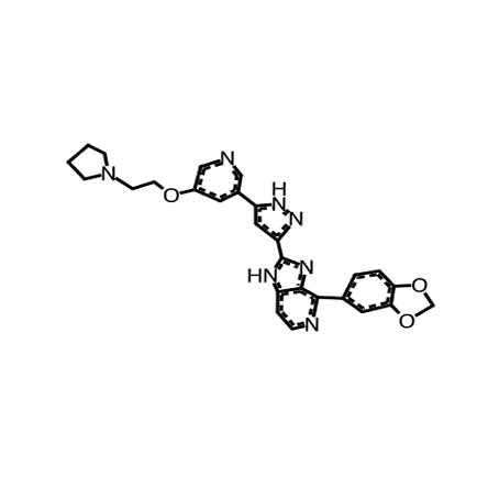 c1cc2[nH]c(-c3cc(-c4cncc(OCCN5CCCC5)c4)[nH]n3)nc2c(-c2ccc3c(c2)OCO3)n1